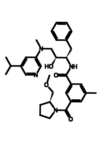 COC[C@H]1CCCN1C(=O)c1cc(C)cc(C(=O)N[C@@H](Cc2ccccc2)[C@H](O)CN(C)c2cncc(C(C)C)c2)c1